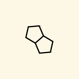 [CH]1CC2[CH]CCC2C1